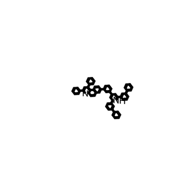 C1=C(c2cccc(-c3ccc4c(ccc5nc(-c6ccccc6)cc(-c6ccccc6)c54)c3)c2)C=C(c2cccc(-c3ccccc3)c2)NC1c1cccc(-c2ccccc2)c1